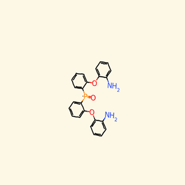 Nc1ccccc1Oc1ccccc1[P](=O)c1ccccc1Oc1ccccc1N